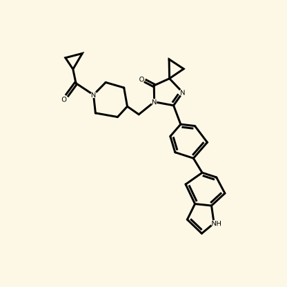 O=C(C1CC1)N1CCC(CN2C(=O)C3(CC3)N=C2c2ccc(-c3ccc4[nH]ccc4c3)cc2)CC1